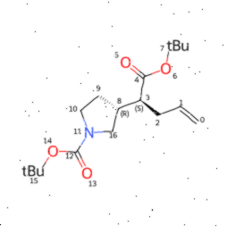 C=CC[C@H](C(=O)OC(C)(C)C)[C@H]1CCN(C(=O)OC(C)(C)C)C1